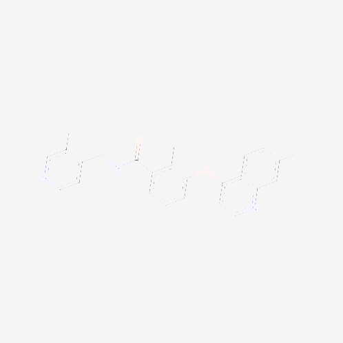 Cc1c(Oc2ccnc3cc(F)ccc23)cccc1C(=O)NCc1c(F)cncc1F